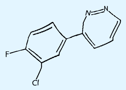 Fc1ccc(-c2cccnn2)cc1Cl